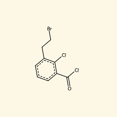 O=C(Cl)c1cccc(CCBr)c1Cl